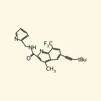 Cc1cc(C(=O)NCc2ccccn2)nc2c(C(F)(F)F)cc(C#CC(C)(C)C)cc12